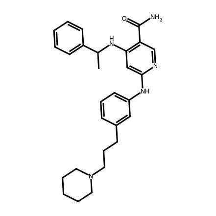 CC(Nc1cc(Nc2cccc(CCCN3CCCCC3)c2)ncc1C(N)=O)c1ccccc1